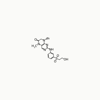 CC(C)N1CC(=O)N(C)c2cnc(Nc3cccc(S(=O)(=O)CCO)c3)nc21